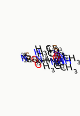 CC(C)c1nc(CN(C)C(=O)NC(C(=O)NCCCCNC(=O)OCc2cncs2)C(C)C)cs1